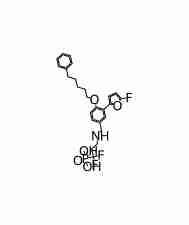 O=P(O)(O)C(F)(F)CCNCc1ccc(OCCCCCc2ccccc2)c(-c2ccc(F)o2)c1